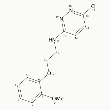 COc1ccccc1OCCNc1ccc(Cl)nn1